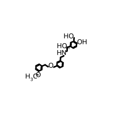 COc1cccc(CCOCc2cccc(CCNC[C@H](O)c3ccc(O)c(CO)c3)c2)c1